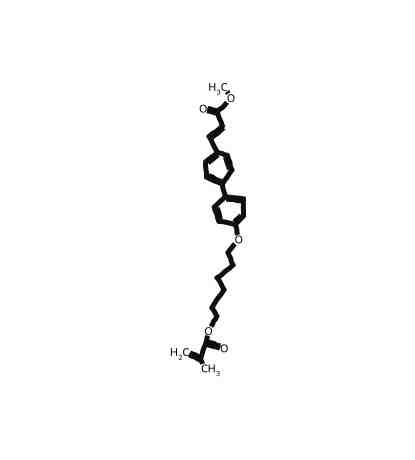 C=C(C)C(=O)OCCCCCCOc1ccc(-c2ccc(/C=C/C(=O)OC)cc2)cc1